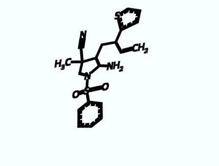 C=CC(CC1C(N)N(S(=O)(=O)c2ccccc2)CC1(C)C#N)c1cccs1